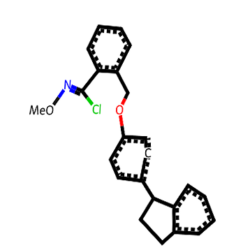 CON=C(Cl)c1ccccc1COc1ccc(C2CCc3ccccc32)cc1